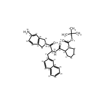 CC(C)(C)OC(=O)N1CCCCC1C(=O)NC(Cc1ccc2ccccc2c1)C(=O)N1Cc2ccc(N)cc2C1